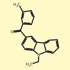 CCn1c2ccccc2c2cc(C(=O)c3cccc(C)c3)ccc21